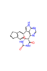 O=C1NC(=O)C(c2ncnc3[nH]cc(-c4ccc5c(c4)CCC5)c23)C(=O)N1